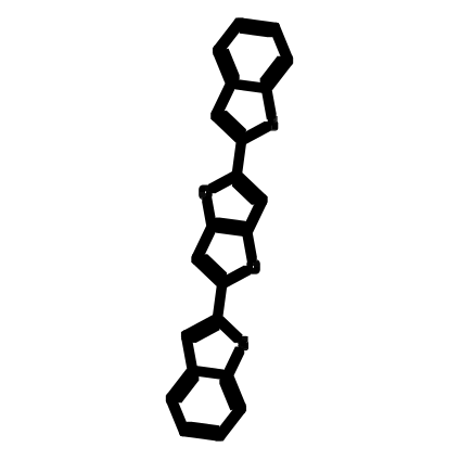 c1ccc2sc(-c3cc4oc(-c5cc6ccccc6s5)cc4o3)cc2c1